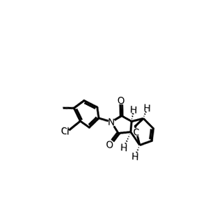 Cc1ccc(N2C(=O)[C@@H]3[C@H](C2=O)[C@@H]2C=C[C@H]3CC2)cc1Cl